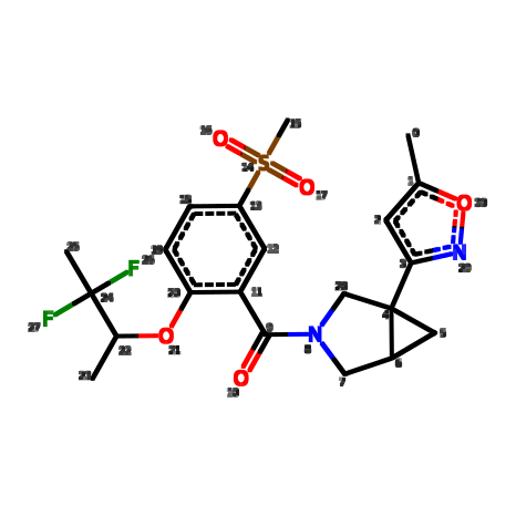 Cc1cc(C23CC2CN(C(=O)c2cc(S(C)(=O)=O)ccc2OC(C)C(C)(F)F)C3)no1